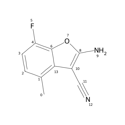 Cc1ccc(F)c2oc(N)c(C#N)c12